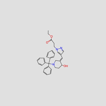 CCOC(=O)CCn1cc(/C=C2\CN(C(c3ccccc3)(c3ccccc3)c3ccccc3)CCC2O)cn1